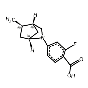 C[C@@H]1C[C@@H]2C[C@H]1CN2c1ccc(C(=O)O)c(F)c1